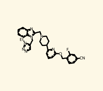 CCn1nncc1Cn1c(CN2CCC(c3cccc(OCc4ccc(C#N)cc4F)n3)CC2)nc2ccccc21